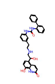 O=C(Nc1cccc(CCNCC(O)c2ccc(O)c3[nH]c(=O)ccc23)c1)Nc1ccccc1-c1ccccc1